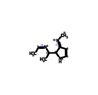 C/C=N\C(C)C1NC=C/C1=N\C